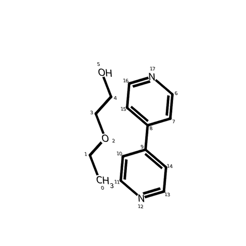 CCOCCO.c1cc(-c2ccncc2)ccn1